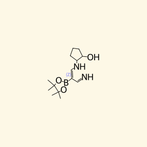 CC1(C)OB(/C(C=N)=C/NC2CCCC2O)OC1(C)C